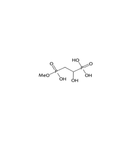 COP(=O)(O)CC(O)P(=O)(O)O